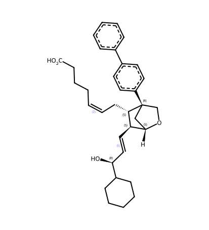 O=C(O)CCC/C=C\C[C@H]1[C@H](/C=C/[C@H](O)C2CCCCC2)[C@@H]2C[C@@]1(c1ccc(-c3ccccc3)cc1)CO2